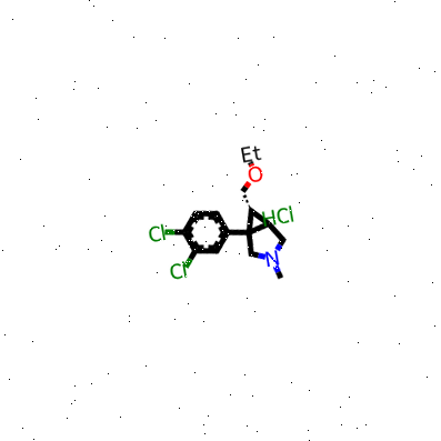 CCOC[C@@H]1C2CN(C)CC21c1ccc(Cl)c(Cl)c1.Cl